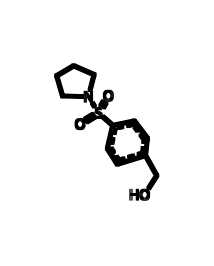 O=S(=O)(c1ccc(CO)cc1)N1CCCC1